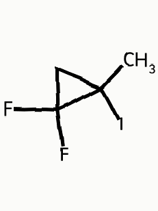 CC1(I)CC1(F)F